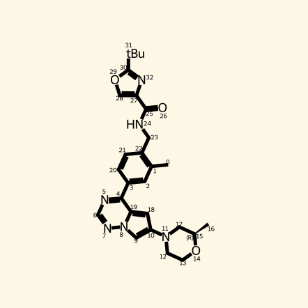 Cc1cc(-c2ncnn3cc(N4CCO[C@H](C)C4)cc23)ccc1CNC(=O)c1coc(C(C)(C)C)n1